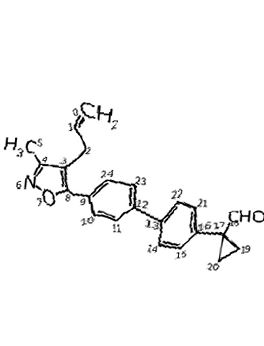 C=CCc1c(C)noc1-c1ccc(-c2ccc(C3(C=O)CC3)cc2)cc1